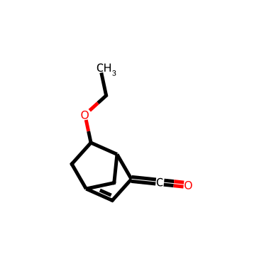 CCOC1CC2=CC(=C=O)C1C2